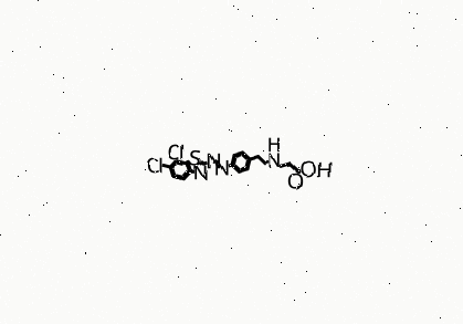 O=C(O)CCNCCc1ccc(N=Nc2nc3ccc(Cl)c(Cl)c3s2)cc1